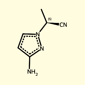 C[C@@H](C#N)n1ccc(N)n1